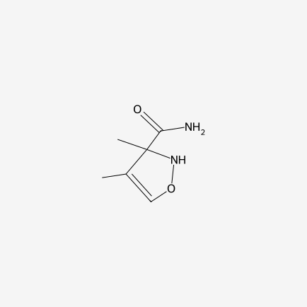 CC1=CONC1(C)C(N)=O